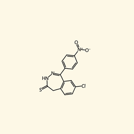 O=[N+]([O-])c1ccc(C2=NNC(=S)Cc3ccc(Cl)cc32)cc1